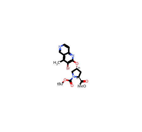 COC(=O)[C@@H]1C[C@@H](Oc2nc3ccncc3c(C)c2Br)CN1C(=O)OC(C)(C)C